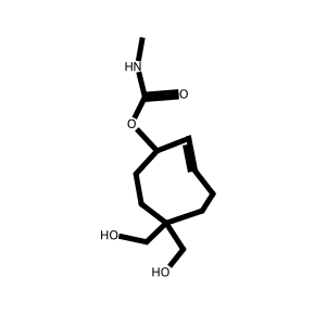 CNC(=O)OC1/C=C/CCC(CO)(CO)CC1